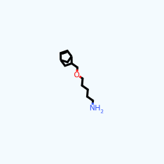 NCCCCCOCC1CC2C=CC1C2